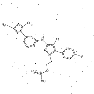 CCc1c(Nc2cc(-n3nc(C)cc3C)ncn2)nn(CCO[SiH](C)C(C)(C)C)c1-c1ccc(F)cc1